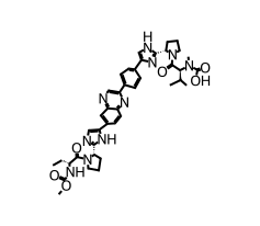 CC[C@@H](NC(=O)OC)C(=O)N1CCC[C@H]1c1ncc(-c2ccc3nc(-c4ccc(-c5c[nH]c([C@@H]6CCCN6C(=O)[C@H](C(C)C)N(C)C(=O)O)n5)cc4)cnc3c2)[nH]1